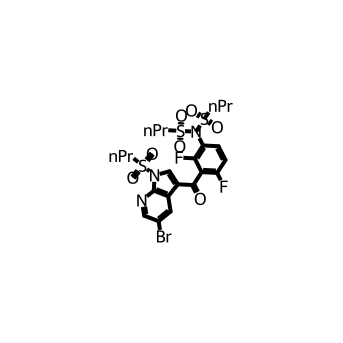 CCCS(=O)(=O)N(c1ccc(F)c(C(=O)c2cn(S(=O)(=O)CCC)c3ncc(Br)cc23)c1F)S(=O)(=O)CCC